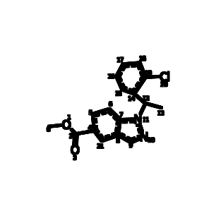 COC(=O)c1ccc2c(cnn2C(C)c2ccccc2Cl)c1